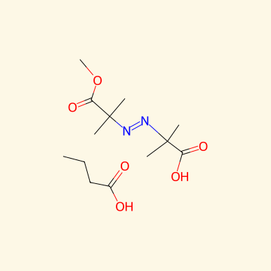 CCCC(=O)O.COC(=O)C(C)(C)N=NC(C)(C)C(=O)O